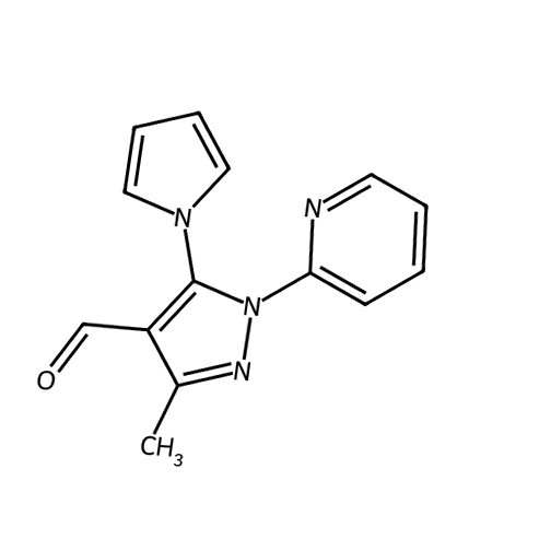 Cc1nn(-c2ccccn2)c(-n2cccc2)c1C=O